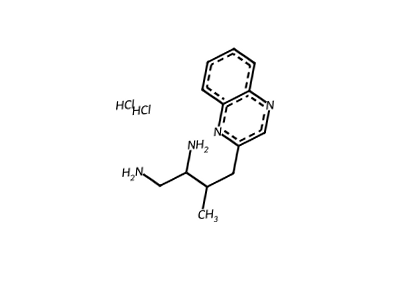 CC(Cc1cnc2ccccc2n1)C(N)CN.Cl.Cl